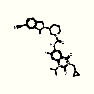 CC(C)n1c(=O)n(CC2CC2)c(=O)c2cc(NC(=O)N3CCCC(N4Cc5ccc(C#N)cc5C4=O)C3)c(F)cc21